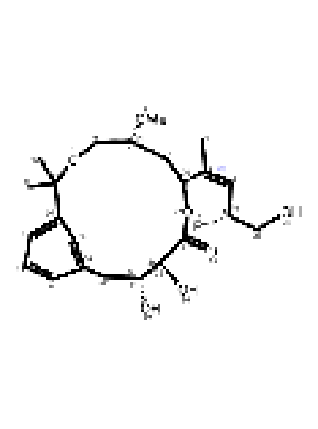 CC[C@H](/C=C(/C)[C@@H]1C[C@@H](OC)CCC(C)(C)c2cccc(c2)C[C@@H](O)[C@H](O)C(=O)O1)CO